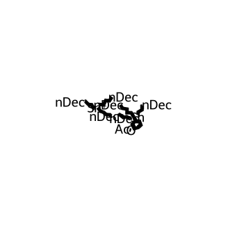 CC(=O)[O-].CCCCCCCCCCCCC[CH2][Sn+]([CH2]CCCCCCCCCCCCC)[CH2]CCCCCCCCCCCCC.CCCCCCCCCCCCC[CH2][Sn]([CH2]CCCCCCCCCCCCC)([CH2]CCCCCCCCCCCCC)[c]1ccccc1